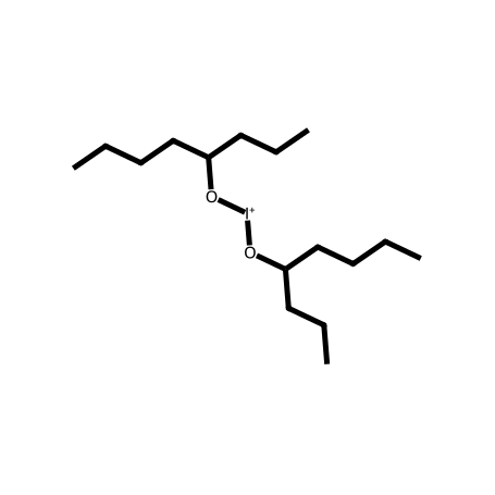 CCCCC(CCC)O[I+]OC(CCC)CCCC